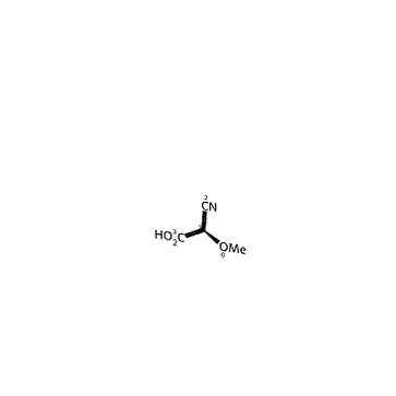 CO[C@H](C#N)C(=O)O